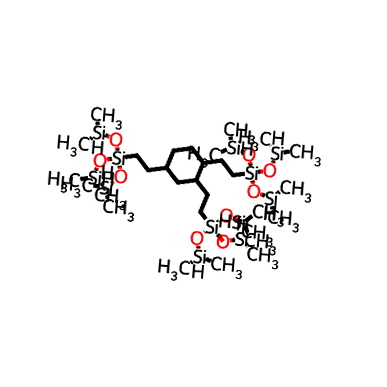 C[SiH](C)O[Si](CCC1CCC(CC[Si](O[SiH](C)C)(O[SiH](C)C)O[SiH](C)C)C(CC[Si](O[SiH](C)C)(O[SiH](C)C)O[SiH](C)C)C1)(O[SiH](C)C)O[SiH](C)C